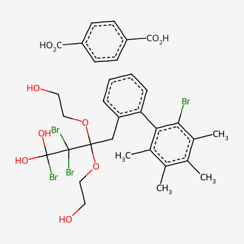 Cc1c(C)c(C)c(-c2ccccc2CC(OCCO)(OCCO)C(Br)(Br)C(O)(O)Br)c(Br)c1C.O=C(O)c1ccc(C(=O)O)cc1